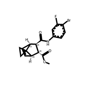 COC(=O)[C@H]1[C@H](C(=O)Nc2ccc(Br)c(F)c2)[C@@H]2C=C[C@H]1C21CC1